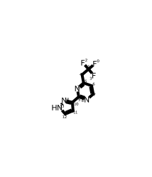 FC(F)(F)Cc1ccnc(-c2[c]c[nH]n2)n1